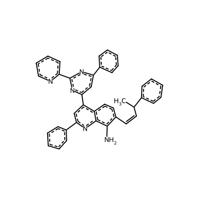 CC(/C=C\c1ccc2c(-c3cc(-c4ccccc4)nc(-c4ccccn4)n3)cc(-c3ccccc3)nc2c1N)c1ccccc1